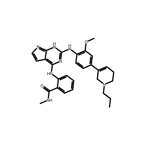 CCCN1CCC=C(c2ccc(Nc3nc(Nc4ccccc4C(=O)NC)c4ccnc-4[nH]3)c(OC)c2)C1